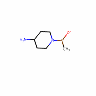 C[S+]([O-])N1CCC(N)CC1